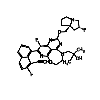 C#Cc1c(F)ccc2cccc(-c3nc4c5c(nc(OC[C@@]67CCCN6C[C@H](F)C7)nc5c3F)N(CC(C)(C)O)CCO4)c12